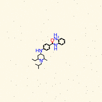 CCC1CC(Nc2ccc(C(=O)Nc3ccccc3N)cc2)CC(C)N1CC(C)C